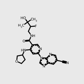 CC(C)(O)C(F)CNC(=O)c1cnc(-n2cnc3cc(C#N)cnc32)cc1NC1CCOC1